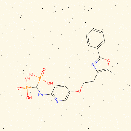 Cc1oc(-c2ccccc2)nc1CCOc1ccc(NC(P(=O)(O)O)P(=O)(O)O)nc1